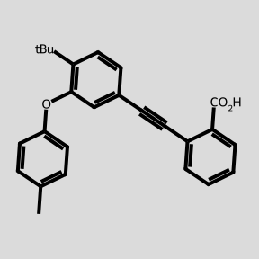 Cc1ccc(Oc2cc(C#Cc3ccccc3C(=O)O)ccc2C(C)(C)C)cc1